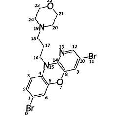 Brc1ccc2c(c1)Oc1cc(Br)cnc1N2CCCN1CCOCC1